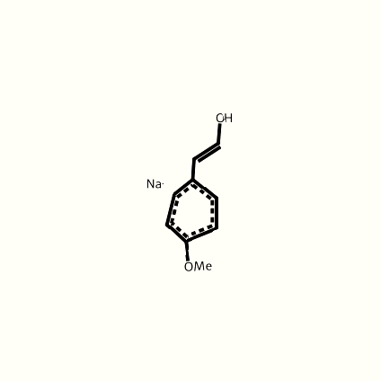 COc1ccc(C=CO)cc1.[Na]